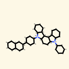 C1CCC(N2C3CCCCC3C3C4C5CCCCC5N(C5CCC(C6CCC7CCCCC7C6)CC5)C4CCC32)CC1